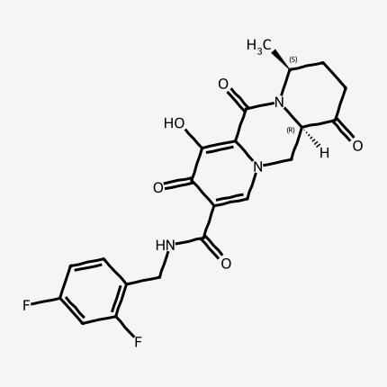 C[C@H]1CCC(=O)[C@H]2Cn3cc(C(=O)NCc4ccc(F)cc4F)c(=O)c(O)c3C(=O)N21